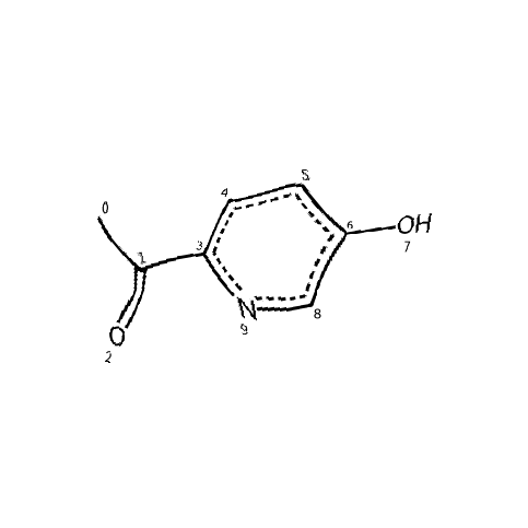 CC(=O)c1ccc(O)cn1